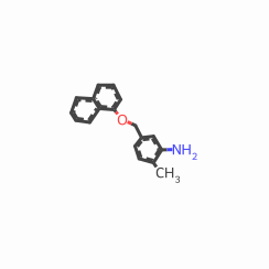 Cc1ccc(COc2cccc3ccccc23)cc1N